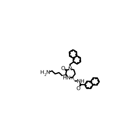 NCCCC[C@@H]1N[C@@H](CNC(=O)c2ccc3ccccc3c2)CCN(Cc2cccc3ccccc23)C1=O